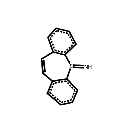 N=S1c2ccccc2C=Cc2ccccc21